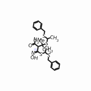 CNC(=O)C(/C(=N/O)SC(C)SCc1ccccc1)C(C)(C)SC(C)SCc1ccccc1